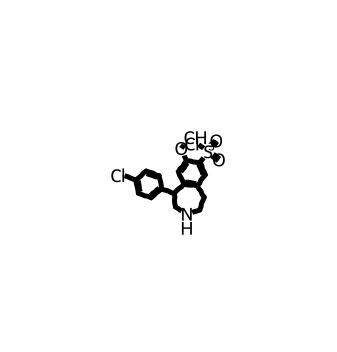 COc1cc2c(cc1S(=O)(=O)Cl)CCNCC2c1ccc(Cl)cc1